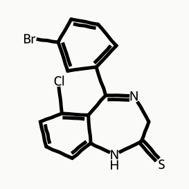 S=C1CN=C(c2cccc(Br)c2)c2c(Cl)cccc2N1